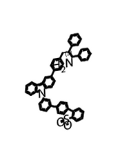 NC(c1ccccc1)[C@@H](Cc1ccc(-c2ccc3c(c2)c2ccccc2n3-c2cccc(-c3ccc4c(c3)S(=O)(=O)c3ccccc3-4)c2)cc1)c1ccccc1